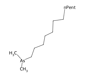 CCCCCCCCCCCC[As](C)C